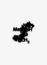 COc1cnc(-n2ccc(CF)n2)c2[nH]cc(C(=O)C(=O)N3CCN(C(=O)c4ccccc4)[C@H](C)C3)c12